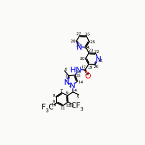 Cc1nn(C(C)c2ccc(C(F)(F)F)cc2C(F)(F)F)cc1NC(=O)c1cncc(-c2ccccn2)c1